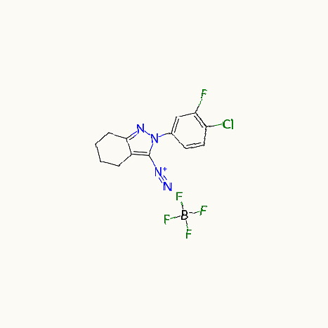 F[B-](F)(F)F.N#[N+]c1c2c(nn1-c1ccc(Cl)c(F)c1)CCCC2